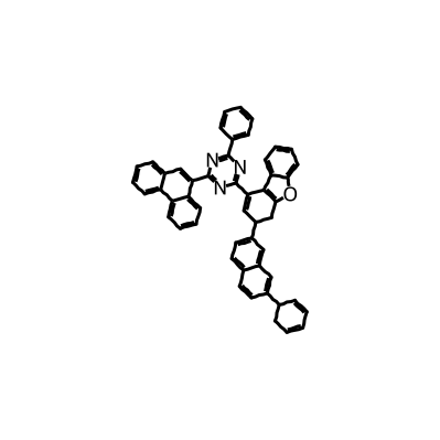 C1=CCC(c2ccc3ccc(C4C=C(c5nc(-c6ccccc6)nc(-c6cc7ccccc7c7ccccc67)n5)c5c(oc6ccccc56)C4)cc3c2)C=C1